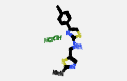 CNc1ncc(CNc2nc(-c3ccc(C)cc3)cs2)s1.Cl.Cl